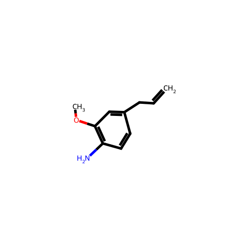 C=CCc1ccc(N)c(OC)c1